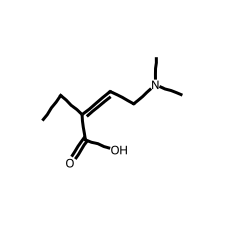 CCC(=CCN(C)C)C(=O)O